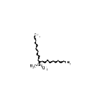 CCCCCCCCCCC1(CCCCCCCCCC)N(C)N1C